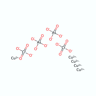 O=[As]([O-])([O-])[O-].O=[As]([O-])([O-])[O-].[Cu+2].[Cu+2].[Cu+2].[Cu+2].[Cu+2].[O]=[Cr](=[O])([O-])[O-].[O]=[Cr](=[O])([O-])[O-]